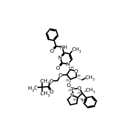 CC[C@H]1O[C@@H](n2cc(C)c(NC(=O)c3ccccc3)nc2=O)C(OCOC(=O)C(C)(C)C)[C@H]1O[P@]1O[C@@](C)(c2ccccc2)[C@H]2CCCN21